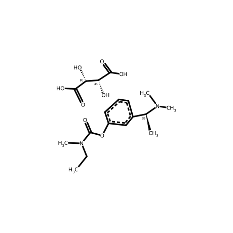 CCN(C)C(=O)Oc1cccc([C@H](C)N(C)C)c1.O=C(O)[C@H](O)[C@@H](O)C(=O)O